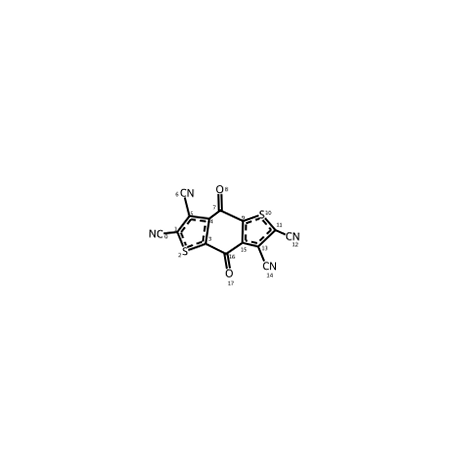 N#Cc1sc2c(c1C#N)C(=O)c1sc(C#N)c(C#N)c1C2=O